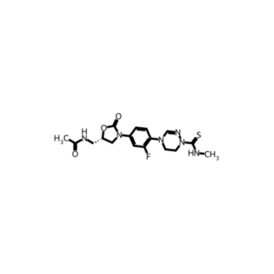 CNC(=S)N1CCN(c2ccc(N3C[C@H](CNC(C)=O)OC3=O)cc2F)C=N1